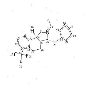 CCN1C[C@@H]2c3cccc(C(F)(F)F)c3CCC2[C@H]1Cc1ccccc1